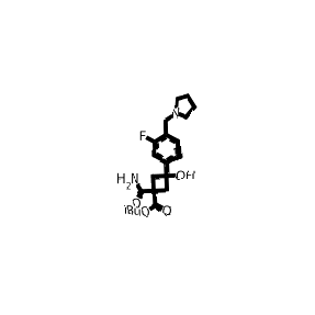 CC(C)COC(=O)C1(C(N)=O)CC(O)(c2ccc(CN3CCCC3)c(F)c2)C1